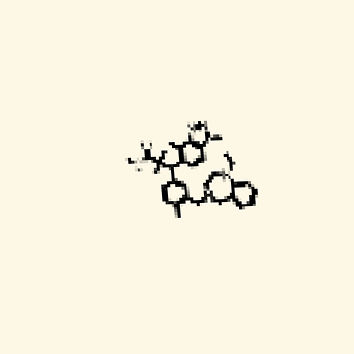 CCN1CCN(Cc2cc(C(c3ccc4c(nnn4C)c3C)C(C)(C)C(=O)OC)ccc2C)Cc2ccccc21